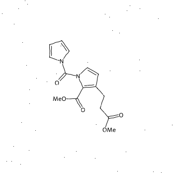 COC(=O)CCc1ccn(C(=O)n2cccc2)c1C(=O)OC